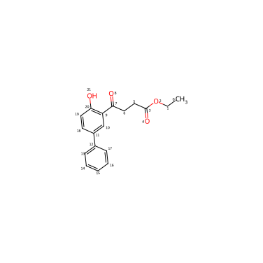 CCOC(=O)CCC(=O)c1cc(-c2ccccc2)ccc1O